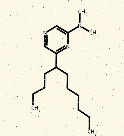 CCCCCCC(CCCC)c1cncc(N(C)C)n1